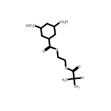 CCOC(=O)C1CC(C(=O)OCC)CC(C(=O)OCCOC(=O)C(C)(C)CC)C1